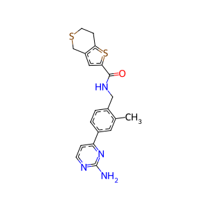 Cc1cc(-c2ccnc(N)n2)ccc1CNC(=O)c1cc2c(s1)CCSC2